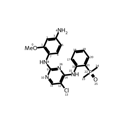 COc1cc(N)ccc1Nc1ncc(Cl)c(Nc2ccccc2P(C)(C)=O)n1